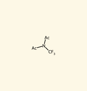 CC(=O)N(C(C)=O)C(F)(F)F